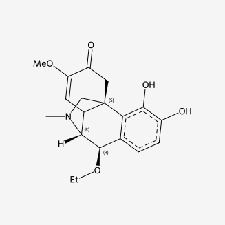 CCO[C@@H]1c2ccc(O)c(O)c2[C@]23CC(=O)C(OC)=CC2[C@H]1N(C)C3